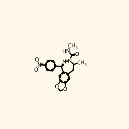 CNC(=O)N1N=C(c2ccc([N+](=O)[O-])cc2)c2cc3c(cc2CC1C)OCO3